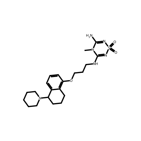 CN1C(N)=NS(=O)(=O)N=C1NCCCOc1cccc2c1CCCC2N1CCCCC1